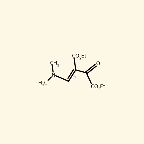 CCOC(=O)C(=O)/C(=C/N(C)C)C(=O)OCC